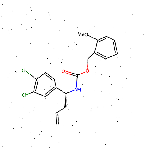 C=CC[C@H](NC(=O)OCc1ccccc1OC)c1ccc(Cl)c(Cl)c1